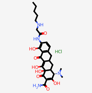 CCCCCNCC(=O)Nc1ccc2c(c1O)C(=O)C1=C(O)C3(O)C(=O)C(C(N)=O)=C(O)[C@@H](N(C)C)C3CC1C2.Cl